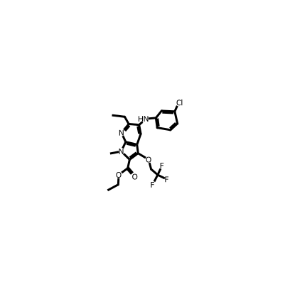 CCOC(=O)c1c(OCC(F)(F)F)c2cc(Nc3cccc(Cl)c3)c(CC)nc2n1C